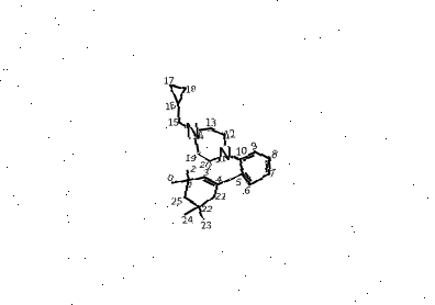 CC1(C)C=C(c2ccccc2N2CCN(CC3CC3)CC2)CC(C)(C)C1